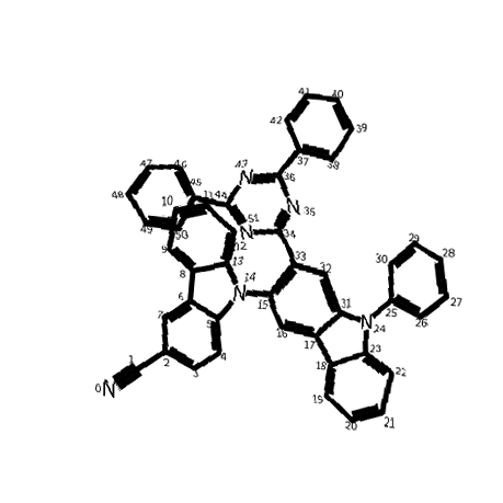 N#Cc1ccc2c(c1)c1ccccc1n2-c1cc2c3ccccc3n(-c3ccccc3)c2cc1-c1nc(-c2ccccc2)nc(-c2ccccc2)n1